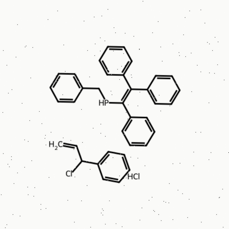 C=CC(Cl)c1ccccc1.Cl.c1ccc(CPC(=C(c2ccccc2)c2ccccc2)c2ccccc2)cc1